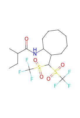 CCC(C)C(=O)NC1CCCCCCC1C(S(=O)(=O)C(F)(F)F)S(=O)(=O)C(F)(F)F